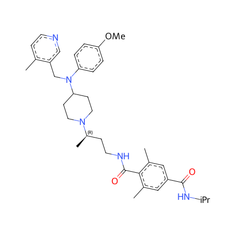 COc1ccc(N(Cc2cnccc2C)C2CCN([C@H](C)CCNC(=O)c3c(C)cc(C(=O)NC(C)C)cc3C)CC2)cc1